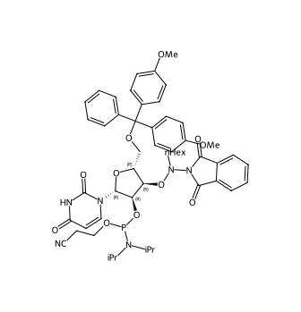 CCCCCCN(O[C@H]1[C@@H](OP(OCCC#N)N(C(C)C)C(C)C)[C@H](n2ccc(=O)[nH]c2=O)O[C@@H]1COC(c1ccccc1)(c1ccc(OC)cc1)c1ccc(OC)cc1)N1C(=O)c2ccccc2C1=O